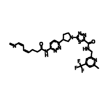 C=N/C=C\C=C/CCC(=O)Nc1ccc(C2CCN(c3nnc(C(=O)NCc4cc(C(F)(F)F)cc(C)n4)s3)C2)nn1